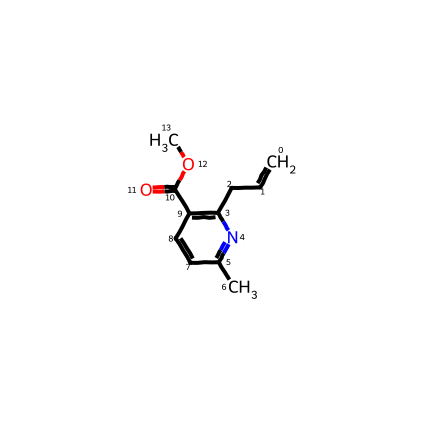 C=CCc1nc(C)ccc1C(=O)OC